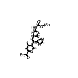 CCC(=O)c1cc(C)c(-c2cc3nc(NC(=O)OC(C)(C)C)sc3n3ncnc23)cn1